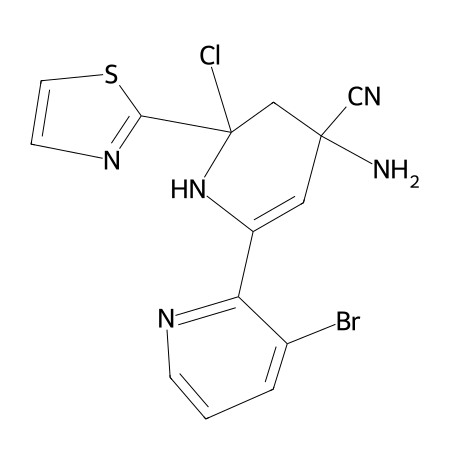 N#CC1(N)C=C(c2ncccc2Br)NC(Cl)(c2nccs2)C1